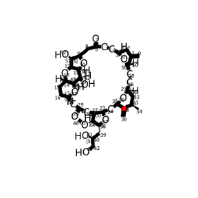 C=C1C[C@@H]2CCC(=O)CC3O[C@@H]4C(O[C@H]5CC[C@H](CC(=O)C[C@H]6C(C[C@H]7O[C@@H](CC[C@@H]1O2)C[C@@H](C)C7=C)O[C@H](C[C@H](O)CO)[C@@H]6OC)O[C@@H]5[C@@H]4O)[C@H]3O